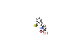 O=C(CCc1ccccc1CS)NC1(C(=O)O)CC1